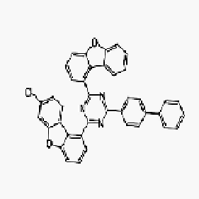 Clc1ccc2c(c1)oc1cccc(-c3nc(-c4ccc(-c5ccccc5)cc4)nc(-c4cccc5oc6ccccc6c45)n3)c12